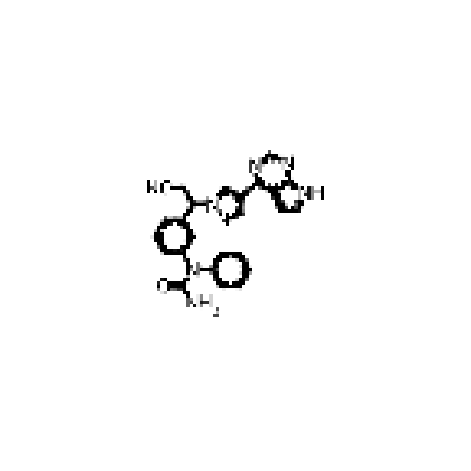 N#CCC(c1cccc(N(C(N)=O)c2ccccc2)c1)n1cc(-c2ncnc3[nH]ccc23)cn1